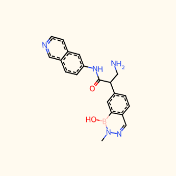 CN1N=Cc2ccc(C(CN)C(=O)Nc3ccc4cnccc4c3)cc2B1O